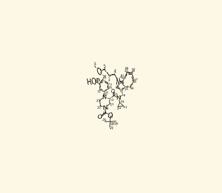 COCCCn1cc(CN(C(=O)C2CN(C(=O)OC(C)(C)C)CCN2c2cccc(O)c2)C2CC2)c2ccccc21